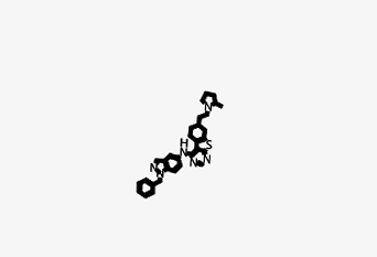 CC1CCCN1CCC1CCc2c(sc3ncnc(Nc4ccc5c(cnn5Cc5ccccc5)c4)c23)C1